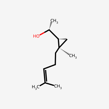 CC(C)=CCC[C@]1(C)C[C@H]1[C@@H](C)O